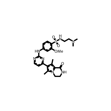 COc1cc(Nc2nccc(-c3c(C)c4n(c3C)CCNC4=O)n2)ccc1S(=O)(=O)NCCN(C)C